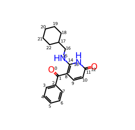 O=C(c1ccccc1)c1ccc(=O)[nH]c1NCC1CCCCC1